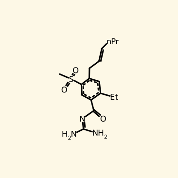 CCC/C=C/Cc1cc(CC)c(C(=O)N=C(N)N)cc1S(C)(=O)=O